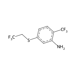 Nc1cc(SCC(F)(F)F)ccc1C(F)(F)F